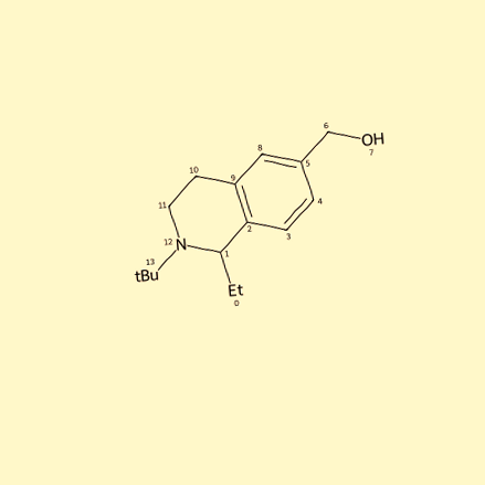 CCC1c2ccc(CO)cc2CCN1C(C)(C)C